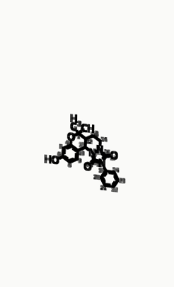 CC1(C)Oc2cc(O)ccc2C2C1CCn1c(=O)n(-c3ccccc3)c(=O)n12